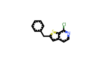 Clc1nccc2cc(Cc3ccccc3)sc12